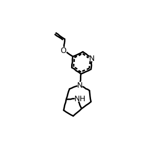 C=COc1cncc(N2CCC3CCC(C2)N3)c1